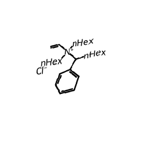 C=C[N+](CCCCCC)(CCCCCC)C(CCCCCC)c1ccccc1.[Cl-]